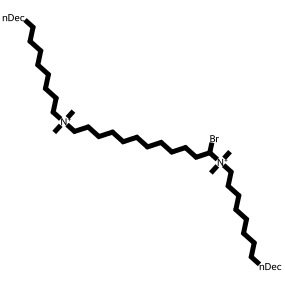 CCCCCCCCCCCCCCCCCC[N+](C)(C)CCCCCCCCCCCC(Br)[N+](C)(C)CCCCCCCCCCCCCCCCCC